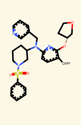 COc1ccc(N(Cc2cccnc2)C2CCCN(S(=O)(=O)c3ccccc3)C2)nc1O[C@@H]1CCOC1